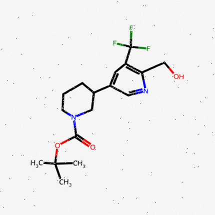 CC(C)(C)OC(=O)N1CCCC(c2cnc(CO)c(C(F)(F)F)c2)C1